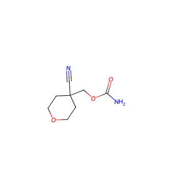 N#CC1(COC(N)=O)CCOCC1